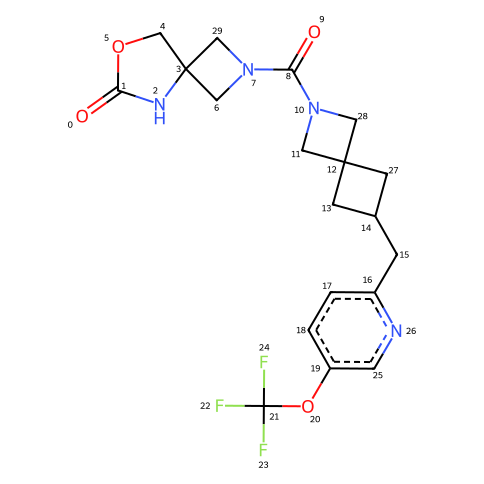 O=C1NC2(CO1)CN(C(=O)N1CC3(CC(Cc4ccc(OC(F)(F)F)cn4)C3)C1)C2